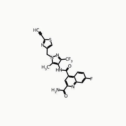 C#Cc1nc(Cn2nc(C(F)(F)F)c(NC(=O)c3cc(C(N)=O)nc4cc(F)ccc34)c2C)cs1